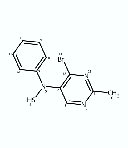 Cc1ncc(N(S)c2ccccc2)c(Br)n1